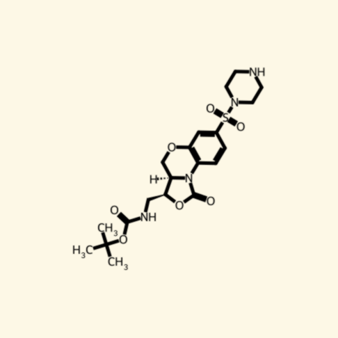 CC(C)(C)OC(=O)NC[C@@H]1OC(=O)N2c3ccc(S(=O)(=O)N4CCNCC4)cc3OC[C@H]12